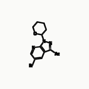 CC(=O)c1nn(C2CCCCO2)c2ncc(Br)cc12